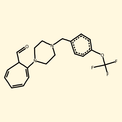 O=CC1C=CC=CC=C1N1CCN(Cc2ccc(OC(F)(F)F)cc2)CC1